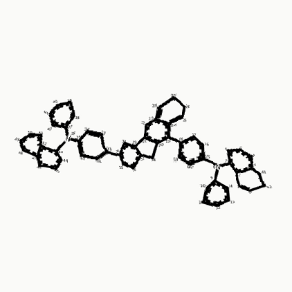 C1=Cc2c(cccc2N(c2ccccc2)c2ccc(-c3c4c(cc5c3=CCCC=5)-c3cc(C5C=CC(N(c6ccccc6)c6cccc7ccccc67)=CC5)ccc3C4)cc2)CC1